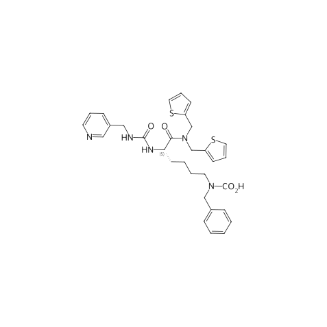 O=C(NCc1cccnc1)N[C@@H](CCCCN(Cc1ccccc1)C(=O)O)C(=O)N(Cc1cccs1)Cc1cccs1